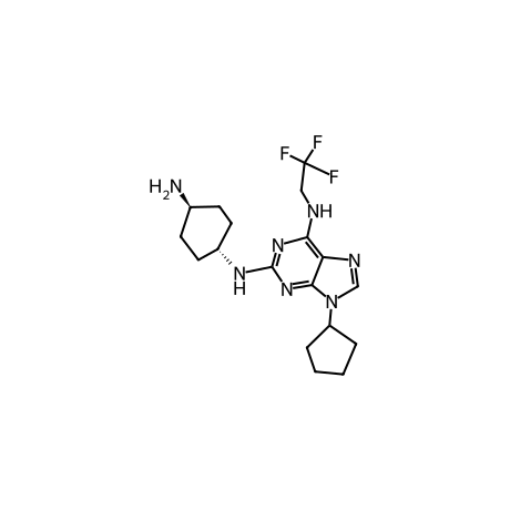 N[C@H]1CC[C@H](Nc2nc(NCC(F)(F)F)c3ncn(C4CCCC4)c3n2)CC1